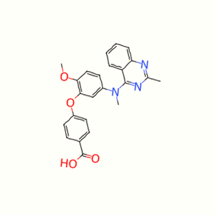 COc1ccc(N(C)c2nc(C)nc3ccccc23)cc1Oc1ccc(C(=O)O)cc1